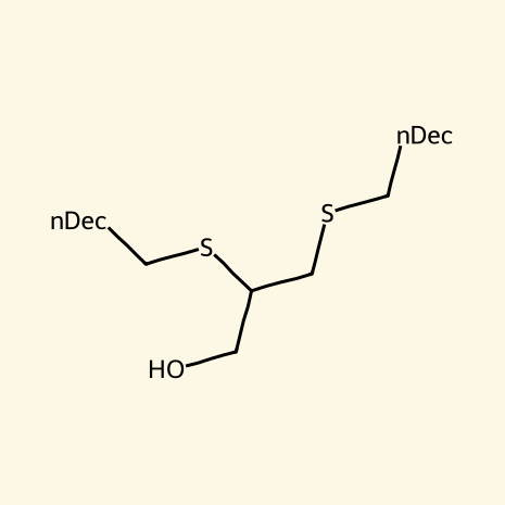 CCCCCCCCCCCSCC(CO)SCCCCCCCCCCC